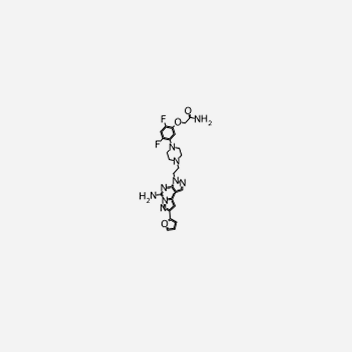 NC(=O)COc1cc(N2CCN(CCn3ncc4c3nc(N)n3nc(-c5ccco5)cc43)CC2)c(F)cc1F